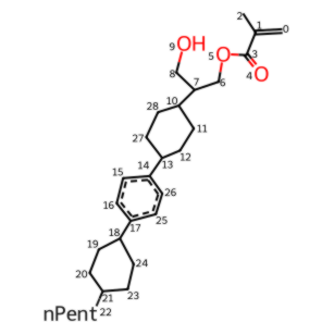 C=C(C)C(=O)OCC(CO)C1CCC(c2ccc(C3CCC(CCCCC)CC3)cc2)CC1